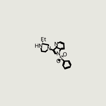 CC[C@@H]1CN(c2cn(S(=O)(=O)c3ccccc3)c3cccnc23)CCN1